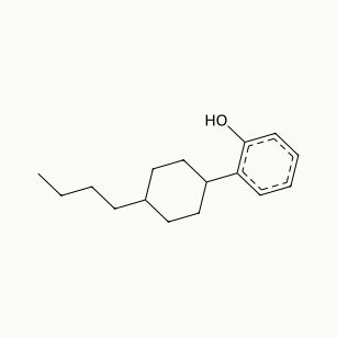 CCCCC1CCC(c2ccccc2O)CC1